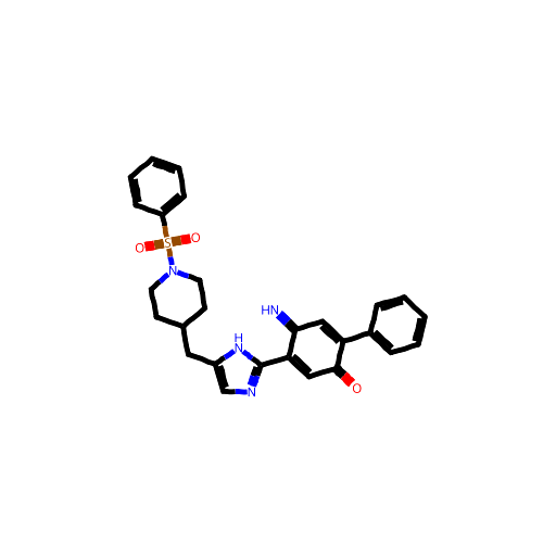 N=C1C=C(c2ccccc2)C(=O)C=C1c1ncc(CC2CCN(S(=O)(=O)c3ccccc3)CC2)[nH]1